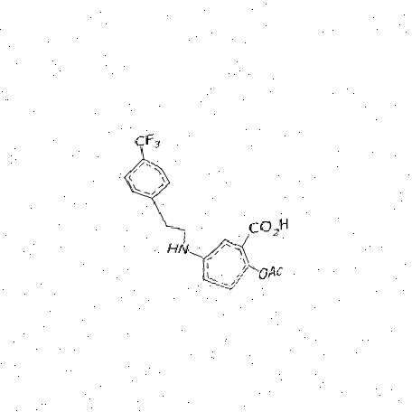 CC(=O)Oc1ccc(NCCc2ccc(C(F)(F)F)cc2)cc1C(=O)O